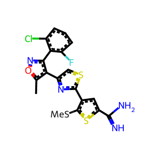 CSc1sc(C(=N)N)cc1-c1nc(-c2c(-c3c(F)cccc3Cl)noc2C)cs1